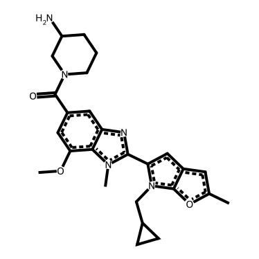 COc1cc(C(=O)N2CCCC(N)C2)cc2nc(-c3cc4cc(C)oc4n3CC3CC3)n(C)c12